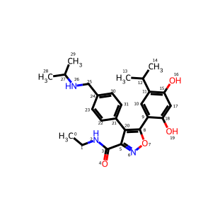 CCNC(=O)c1noc(-c2cc(C(C)C)c(O)cc2O)c1-c1ccc(CNC(C)C)cc1